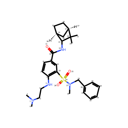 CN(C)CCNc1ccc(C(=O)NC2[C@H]3CC[C@H](C3)C2(C)C)cc1S(=O)(=O)N(C)Cc1ccccc1